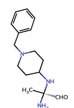 C[C@@](N)(C=O)NC1CCN(Cc2ccccc2)CC1